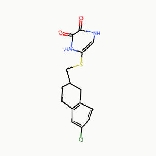 O=c1[nH]cc(SCC2CCc3cc(Cl)ccc3C2)[nH]c1=O